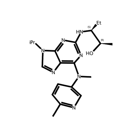 CC[C@H](Nc1nc(N(C)c2ccc(C)nc2)c2ncn(C(C)C)c2n1)[C@@H](C)O